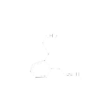 C=CCc1ccccc1CCC=O